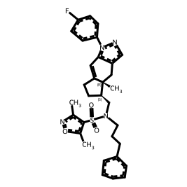 Cc1noc(C)c1S(=O)(=O)N(CCCc1ccccc1)C[C@H]1CCC2=Cc3c(cnn3-c3ccc(F)cc3)C[C@@]21C